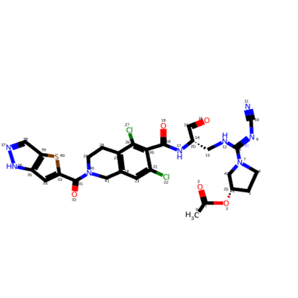 CC(=O)O[C@H]1CCN(/C(=N/C#N)NC[C@@H](C=O)NC(=O)c2c(Cl)cc3c(c2Cl)CCN(C(=O)c2cc4[nH]ncc4s2)C3)C1